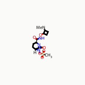 CNC1CCC1ONC(=O)[C@@H]1CC[C@@H]2CN1C(=O)N2OS(C)(=O)=O